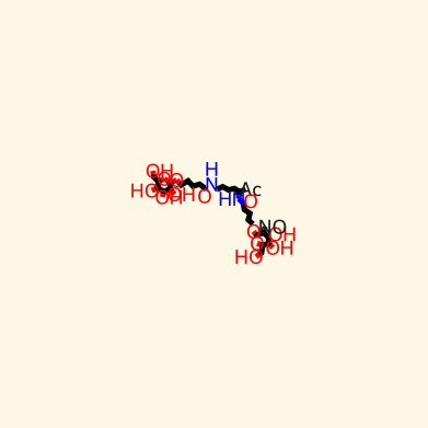 CC(=O)C(CCCCNC(=O)CCCCOC1OC(CO)C(O)C(O)C1O)NC(=O)CCCCOC1OC(CO)C(O)C(O)C1N=O